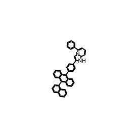 C1=CC2NC(c3ccc(-c4c5ccccc5c(-c5cccc6ccccc56)c5ccccc45)cc3)=CN2C(c2ccccc2)=C1